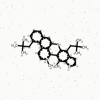 Cc1c2c(c(CC(C)(C)C)c3ccoc13)Sc1cc3cccc(CC(C)(C)C)c3c3cc[n+](C)c-2c13